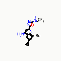 CC(C)(C)c1cc(C2CC2)cc2c(N)cc(-c3nnc(NCC(F)(F)F)o3)nc12